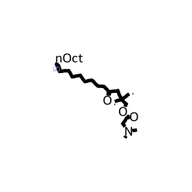 [CH2]C([CH2])(COC(=O)CN(C)C)CC(=O)CCCCCCC/C=C\CCCCCCCC